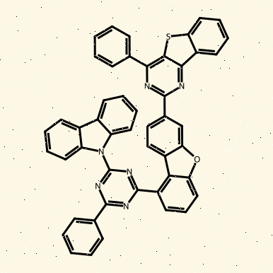 c1ccc(-c2nc(-c3cccc4oc5cc(-c6nc(-c7ccccc7)c7sc8ccccc8c7n6)ccc5c34)nc(-n3c4ccccc4c4ccccc43)n2)cc1